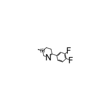 C[C@H]1CCC(c2ccc(F)c(F)c2)=NC1